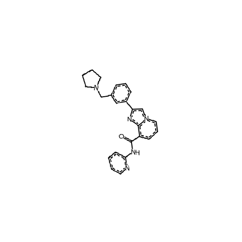 O=C(Nc1ccccn1)c1cccn2cc(-c3cccc(CN4CCCC4)c3)nc12